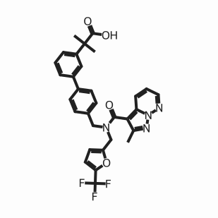 Cc1nn2ncccc2c1C(=O)N(Cc1ccc(-c2cccc(C(C)(C)C(=O)O)c2)cc1)Cc1ccc(C(F)(F)F)o1